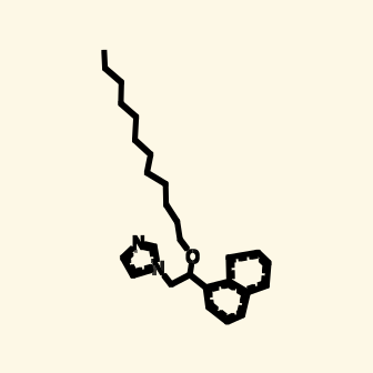 CCCCCCCCCCCCOC(Cn1ccnc1)c1cccc2ccccc12